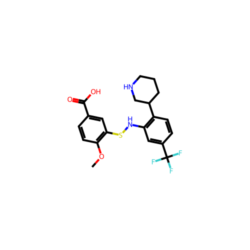 COc1ccc(C(=O)O)cc1SNc1cc(C(F)(F)F)ccc1C1CCCNC1